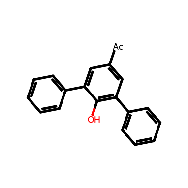 CC(=O)c1cc(-c2ccccc2)c(O)c(-c2ccccc2)c1